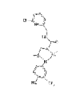 C[C@@H]1CN(c2ccc(C#N)c(C(F)(F)F)c2)[C@@H](C)CN1C(=O)NCc1cccc(Cl)n1